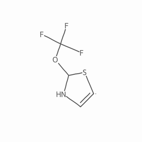 FC(F)(F)OC1NC=[C]S1